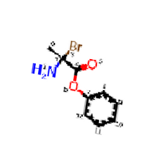 C[C@@](N)(Br)C(=O)Oc1ccccc1